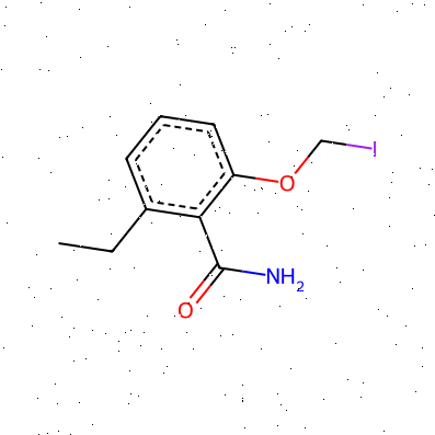 CCc1cccc(OCI)c1C(N)=O